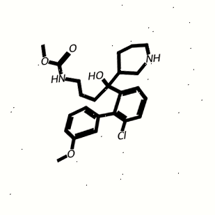 COC(=O)NCCCC(O)(c1cccc(Cl)c1-c1cccc(OC)c1)C1CCCNC1